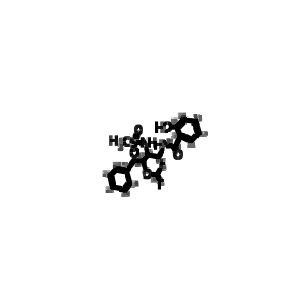 CS(=O)(=O)NC(CNC(=O)c1ccccc1O)C(Cc1ccccc1)OC(F)F